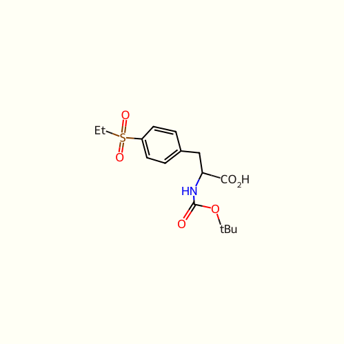 CCS(=O)(=O)c1ccc(CC(NC(=O)OC(C)(C)C)C(=O)O)cc1